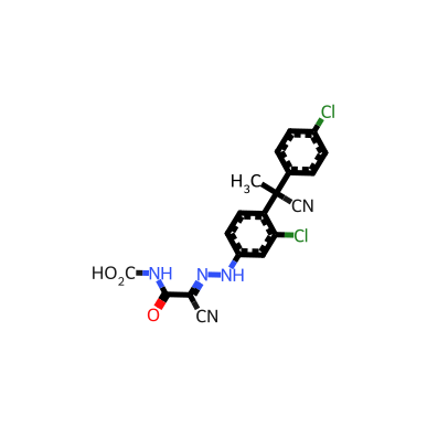 CC(C#N)(c1ccc(Cl)cc1)c1ccc(N/N=C(\C#N)C(=O)NC(=O)O)cc1Cl